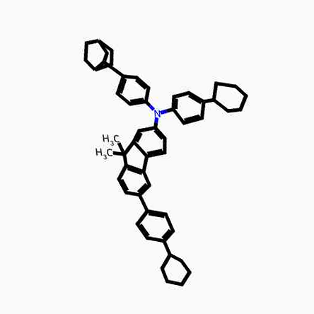 CC1(C)c2ccc(-c3ccc(C4CCCCC4)cc3)cc2-c2ccc(N(c3ccc(C4CCCCC4)cc3)c3ccc(C4CC5CCC4CC5)cc3)cc21